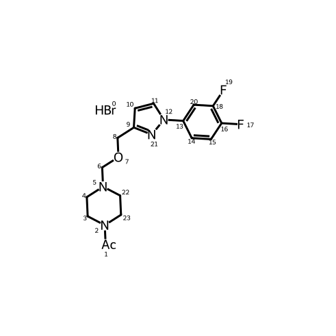 Br.CC(=O)N1CCN(COCc2ccn(-c3ccc(F)c(F)c3)n2)CC1